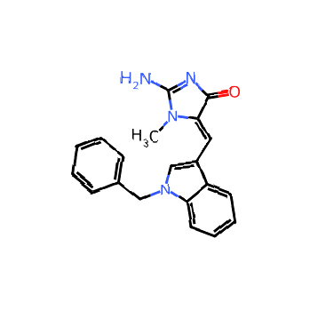 CN1C(=Cc2cn(Cc3ccccc3)c3ccccc23)C(=O)N=C1N